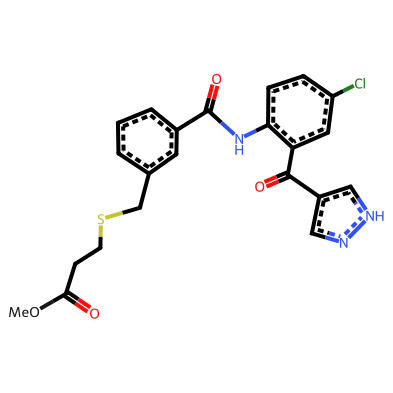 COC(=O)CCSCc1cccc(C(=O)Nc2ccc(Cl)cc2C(=O)c2cn[nH]c2)c1